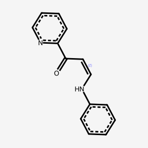 O=C(/C=C\Nc1ccccc1)c1ccccn1